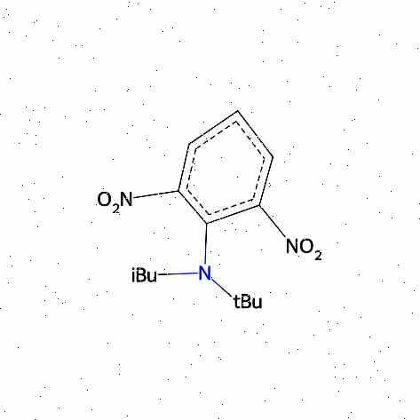 CCC(C)N(c1c([N+](=O)[O-])cccc1[N+](=O)[O-])C(C)(C)C